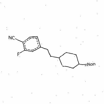 CCCCCCCCCC1CCC(CCc2ccc(C#N)c(F)c2)CC1